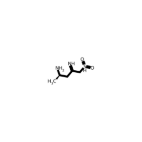 C[C@@H](N)CC(=N)C[SH](=O)=O